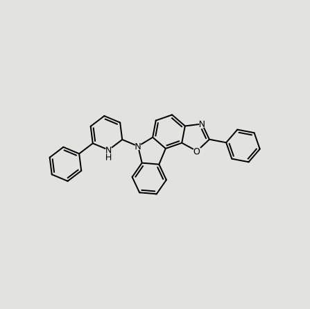 C1=CC(n2c3ccccc3c3c4oc(-c5ccccc5)nc4ccc32)NC(c2ccccc2)=C1